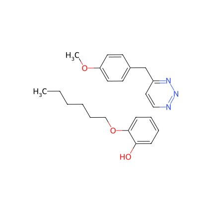 CCCCCCOc1ccccc1O.COc1ccc(Cc2ccnnn2)cc1